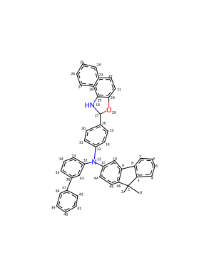 CC1(C)c2ccccc2-c2cc(N(c3ccc(C4Nc5c(ccc6ccccc56)O4)cc3)c3cccc(-c4ccccc4)c3)ccc21